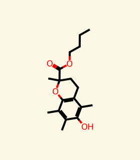 CCCCOC(=O)C1(C)CCc2c(C)c(O)c(C)c(C)c2O1